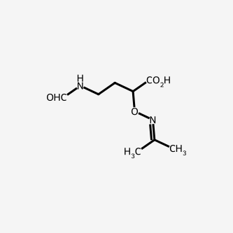 CC(C)=NOC(CCNC=O)C(=O)O